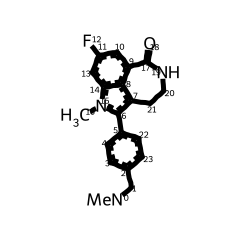 CNCc1ccc(-c2c3c4c(cc(F)cc4n2C)C(=O)NCC3)cc1